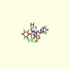 CC1C(c2ccccc2)OC(=O)N1CCN1CCCC1.Cl